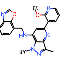 CCOc1ncccc1-c1cc(NCc2cccc3ncoc23)c2c(n1)c(C)nn2C(C)C